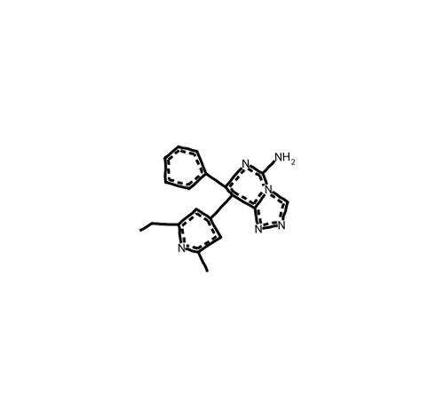 CCc1cc(-c2c(-c3ccccc3)nc(N)n3cnnc23)cc(C)n1